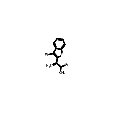 C=C(c1sc2ccccc2c1CC)C(C)Br